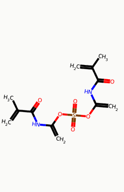 C=C(NC(=O)C(=C)C)OS(=O)(=O)OC(=C)NC(=O)C(=C)C